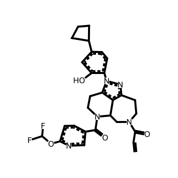 C=CC(=O)N1CCc2nn(-c3ccc(C4CCC4)cc3O)c3c2C(C1)N(C(=O)c1ccc(OC(F)F)nc1)CC3